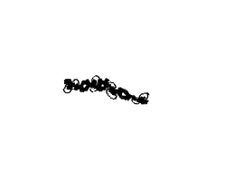 C=CC(=O)OCC1CCC(C(=O)Oc2ccc(OC(=O)C3CCC(COC(=O)C=C)CC3)c(C)c2C)CC1